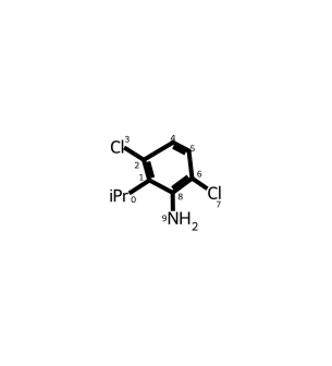 CC(C)c1c(Cl)ccc(Cl)c1N